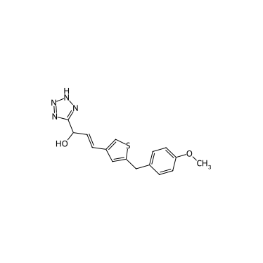 COc1ccc(Cc2cc(C=CC(O)c3nn[nH]n3)cs2)cc1